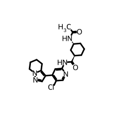 CC(=O)N[C@@H]1CCC[C@@H](C(=O)Nc2cc(-c3cnn4c3CCCC4)c(Cl)cn2)C1